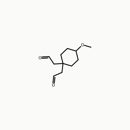 COC1CCC(CC=O)(CC=O)CC1